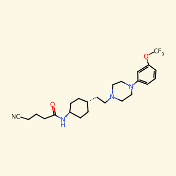 N#CCCCC(=O)N[C@H]1CC[C@H](CCN2CCN(c3cccc(OC(F)(F)F)c3)CC2)CC1